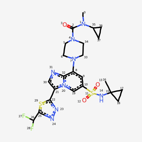 CN(C(=O)N1CCN(c2cc(S(=O)(=O)NC3(C)CC3)cn3c(-c4nnc(C(F)F)s4)cnc23)CC1)C1CC1